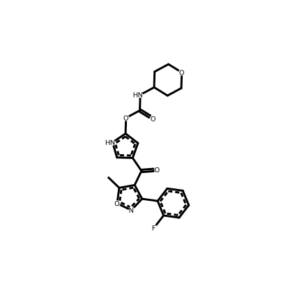 Cc1onc(-c2ccccc2F)c1C(=O)c1c[nH]c(OC(=O)NC2CCOCC2)c1